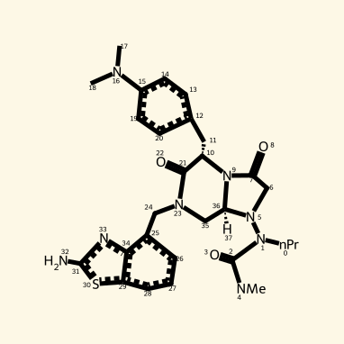 CCCN(C(=O)NC)N1CC(=O)N2[C@@H](Cc3ccc(N(C)C)cc3)C(=O)N(Cc3cccc4sc(N)nc34)C[C@@H]21